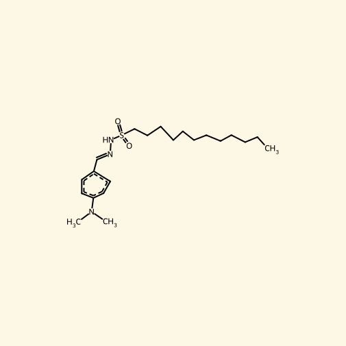 CCCCCCCCCCCCS(=O)(=O)NN=Cc1ccc(N(C)C)cc1